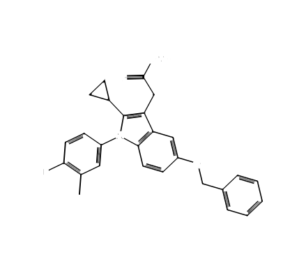 COC(=O)Cc1c(C2CC2)n(-c2ccc(F)c(C)c2)c2ccc(OCc3ccccc3)cc12